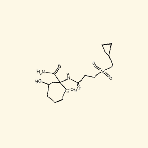 NC(=O)C1(NC(=O)[CH]CS(=O)(=O)CC2CC2)C(O)CCC[C@H]1O